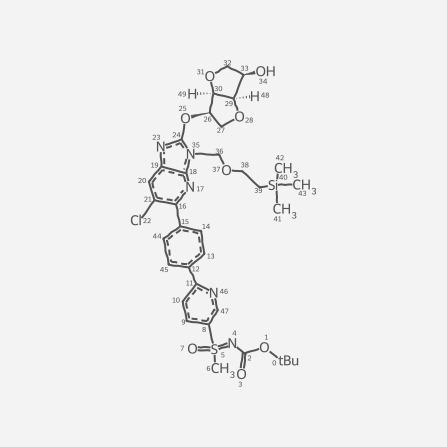 CC(C)(C)OC(=O)N=S(C)(=O)c1ccc(-c2ccc(-c3nc4c(cc3Cl)nc(O[C@@H]3CO[C@H]5[C@@H]3OC[C@H]5O)n4COCC[Si](C)(C)C)cc2)nc1